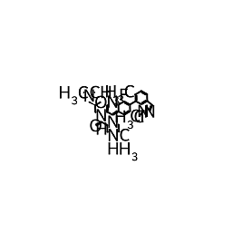 Cc1ccc2cnn(C)c2c1-c1c(Cl)cc2c3c4c(nc2c1F)O[C@H](CN(C)C)CN4C(=O)[C@H]1CN[C@H](C)CN31